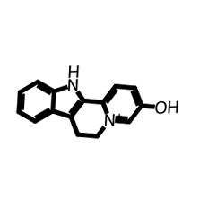 Oc1ccc2[n+](c1)CCc1c-2[nH]c2ccccc12